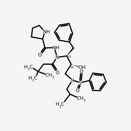 CC(C)CN(C[C@@H](O)[C@H](Cc1ccccc1)N(NC(=O)C1CCCN1)C(=O)CC(C)(C)C)S(=O)(=O)c1ccccc1